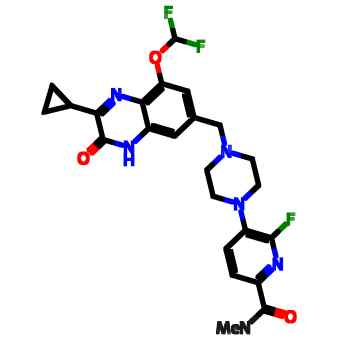 CNC(=O)c1ccc(N2CCN(Cc3cc(OC(F)F)c4nc(C5CC5)c(=O)[nH]c4c3)CC2)c(F)n1